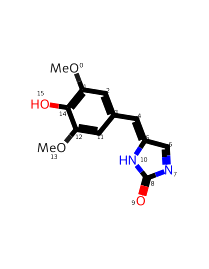 COc1cc(C=C2C=NC(=O)N2)cc(OC)c1O